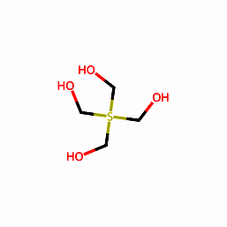 OCS(CO)(CO)CO